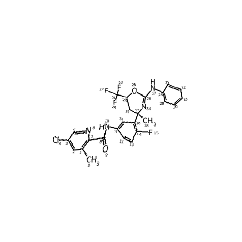 Cc1cc(Cl)cnc1C(=O)Nc1ccc(F)c([C@]2(C)C[C@@H](C(F)(F)F)OC(Nc3ccccc3)=N2)c1